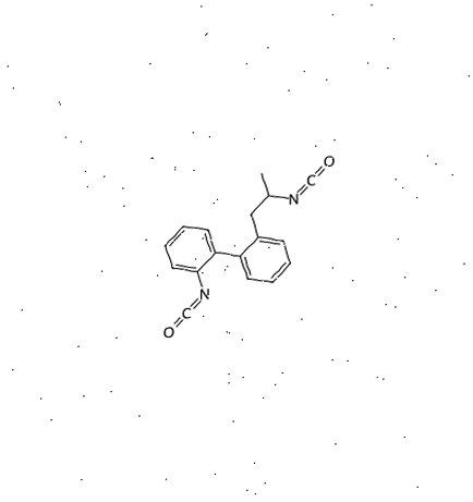 CC(Cc1ccccc1-c1ccccc1N=C=O)N=C=O